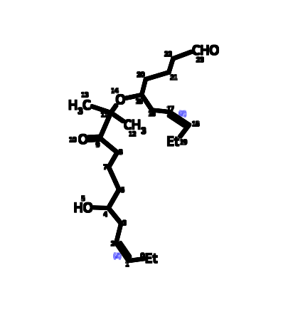 CC/C=C\CC(O)CCCC(=O)C(C)(C)OC(C/C=C\CC)CCCC=O